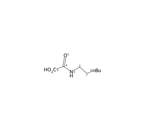 [CH2]CCCCCNC(=O)C(=O)O